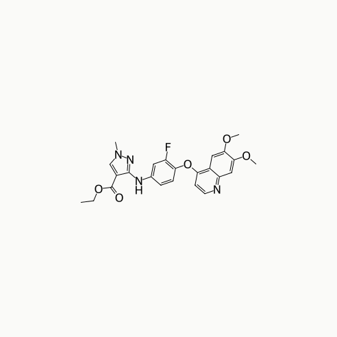 CCOC(=O)c1cn(C)nc1Nc1ccc(Oc2ccnc3cc(OC)c(OC)cc23)c(F)c1